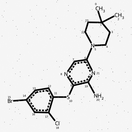 CC1(C)CCN(c2cnc(Sc3ccc(Br)cc3Cl)c(N)n2)CC1